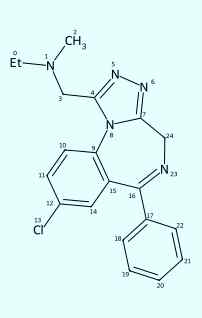 CCN(C)Cc1nnc2n1-c1ccc(Cl)cc1C(c1ccccc1)=NC2